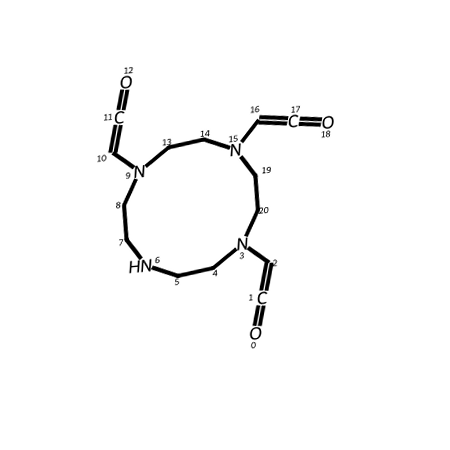 O=C=CN1CCNCCN(C=C=O)CCN(C=C=O)CC1